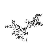 CCn1c(CN(C=O)c2nc3cc[nH]c3nc2N)[n+](CC)c2cc(OCCCN(C[C@H](O)[C@@H](O)[C@H](O)[C@H](O)CO)C[C@H](O)[C@@H](O)[C@H](O)[C@H](O)CO)ccc21